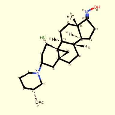 CC(=O)O[C@@H]1CCCN(C2CC[C@@]34C[C@@]3(CC[C@@H]3[C@@H]4CC[C@]4(C)C(=NO)CC[C@@H]34)C2)C1.Cl